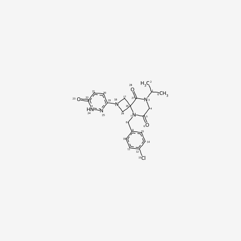 CC(C)N1CC(=O)N(Cc2ccc(Cl)cc2)C2(CN(c3ccc(=O)[nH]n3)C2)C1=O